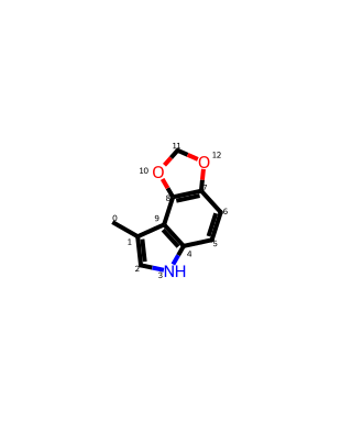 Cc1c[nH]c2ccc3c(c12)OCO3